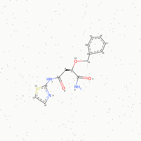 NC(=O)[C@@H]([CH]C(=O)Nc1nccs1)OCc1ccccc1